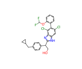 OCC(c1ccc(CC2CC2)cc1)c1nc2c(Cl)c(-c3ccccc3OC(F)F)c(Cl)cc2[nH]1